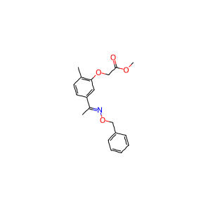 COC(=O)COc1cc(C(C)=NOCc2ccccc2)ccc1C